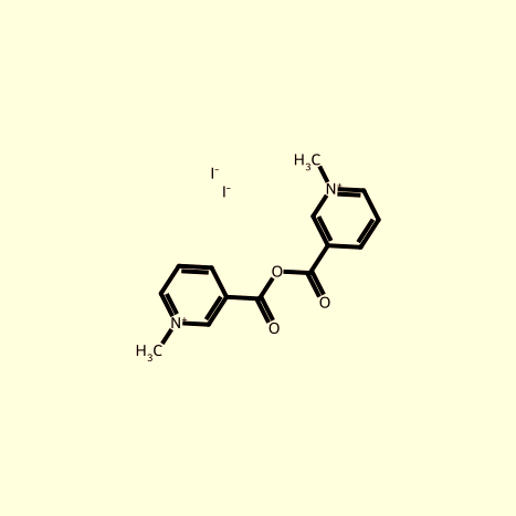 C[n+]1cccc(C(=O)OC(=O)c2ccc[n+](C)c2)c1.[I-].[I-]